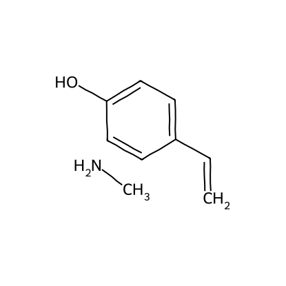 C=Cc1ccc(O)cc1.CN